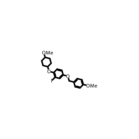 COc1ccc(COc2ccc(OC3CCC(OC)CC3)c(I)c2)cc1